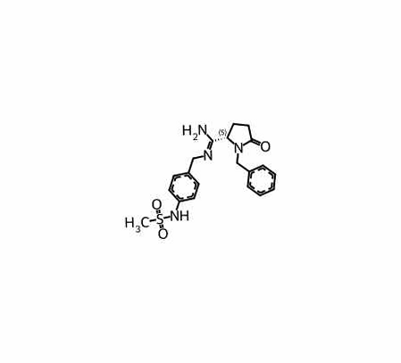 CS(=O)(=O)Nc1ccc(CN=C(N)[C@@H]2CCC(=O)N2Cc2ccccc2)cc1